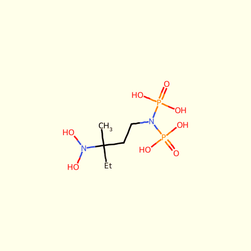 CCC(C)(CCN(P(=O)(O)O)P(=O)(O)O)N(O)O